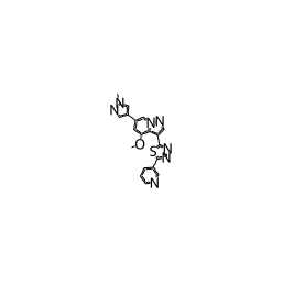 COc1cc(-c2cnn(C)c2)cn2ncc(-c3nnc(-c4cccnc4)s3)c12